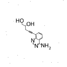 Nc1ncnc2c(C#CCC(O)CO)cccc12